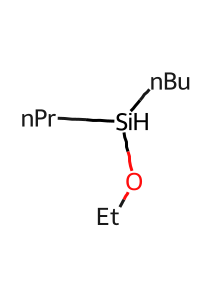 CCCC[SiH](CCC)OCC